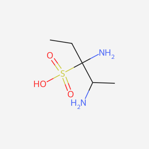 CCC(N)(C(C)N)S(=O)(=O)O